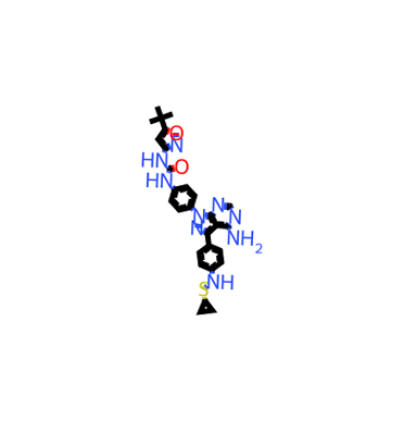 CC(C)(C)c1cc(NC(=O)Nc2ccc(-n3nc(-c4ccc(NSC5CC5)cc4)c4c(N)ncnc43)cc2)no1